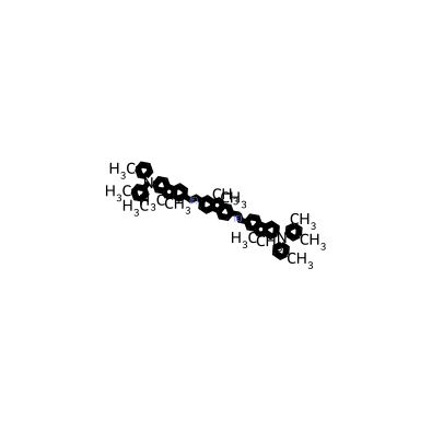 Cc1cccc(N(c2cc(C)cc(C)c2)c2ccc3c(c2)C(C)(C)c2cc(/C=C/c4ccc5c(c4)C(C)(C)c4cc(/C=C/c6ccc7c(c6)C(C)(C)c6cc(N(c8cccc(C)c8)c8cc(C)cc(C)c8)ccc6-7)ccc4-5)ccc2-3)c1